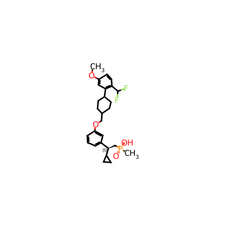 COc1ccc(C(F)F)c(C2CCC(COc3cccc([C@@H](CP(C)(=O)O)C4CC4)c3)CC2)c1